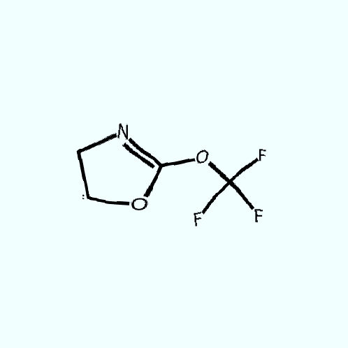 FC(F)(F)OC1=NC[C]O1